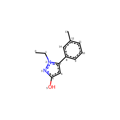 CCn1nc(O)cc1-c1cccc(C)c1